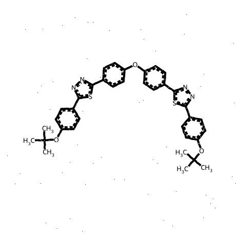 CC(C)(C)Oc1ccc(-c2nnc(-c3ccc(Oc4ccc(-c5nnc(-c6ccc(OC(C)(C)C)cc6)s5)cc4)cc3)s2)cc1